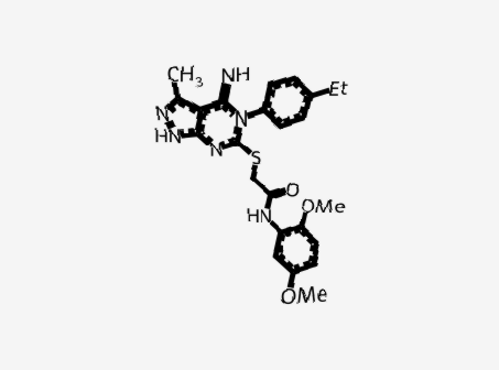 CCc1ccc(-n2c(SCC(=O)Nc3cc(OC)ccc3OC)nc3[nH]nc(C)c3c2=N)cc1